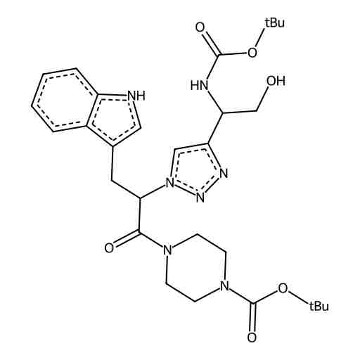 CC(C)(C)OC(=O)NC(CO)c1cn(C(Cc2c[nH]c3ccccc23)C(=O)N2CCN(C(=O)OC(C)(C)C)CC2)nn1